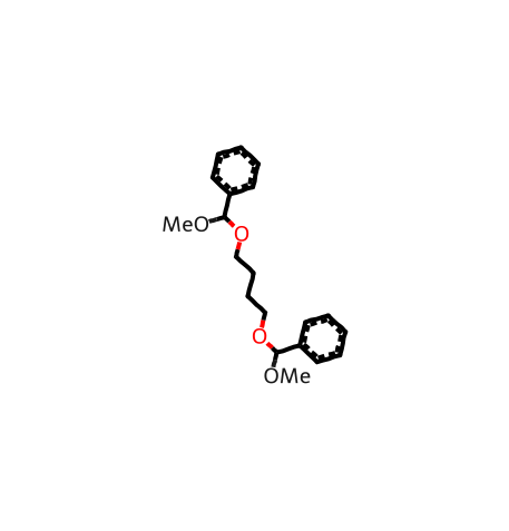 COC(OCCCCOC(OC)c1ccccc1)c1ccccc1